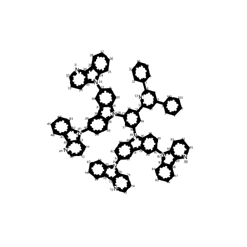 c1ccc(-c2cc(-c3ccccc3)nc(-c3cc(-n4c5ccc(-n6c7ccccc7c7ncccc76)cc5c5cc(-n6c7ccccc7c7ncccc76)ccc54)cc(-n4c5ccc(-n6c7ccccc7c7ncccc76)cc5c5cc(-n6c7ccccc7c7ncccc76)ccc54)c3)c2)cc1